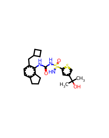 CC(C)(O)c1csc(S(=N)(=O)NC(=O)Nc2c(CC3CCC3)ccc3c2CCC3)c1